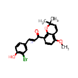 COc1ccc(C(=O)/C=C/c2ccc(O)c(Br)c2)c2c1C=CC(C)(C)O2